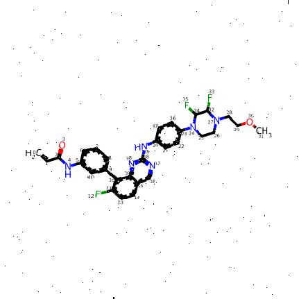 C=CC(=O)Nc1cccc(-c2c(F)ccc3cnc(Nc4ccc(N5CCN(CCOC)C(F)C5F)cc4)nc23)c1